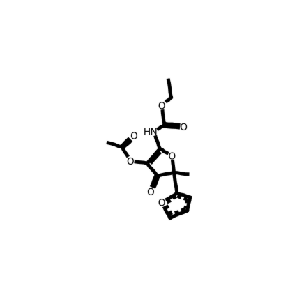 CCOC(=O)NC1=C(OC(C)=O)C(=O)C(C)(c2ccco2)O1